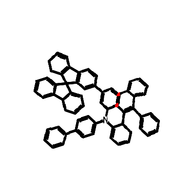 C1=CCC2C(=C1)C1(C3=C(C=CCC3)c3ccc(C4=CC(N(C5=CC=CCC5c5ccc6ccccc6c5-c5ccccc5)c5ccc(-c6ccccc6)cc5)CC=C4)cc31)c1ccccc12